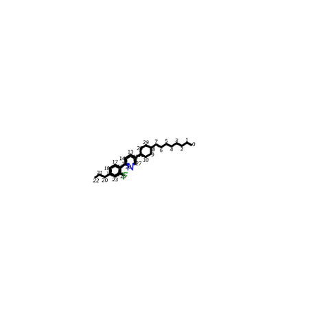 CCCCCCCCC1CCC(c2ccc(-c3ccc(CCC)cc3F)nc2)CC1